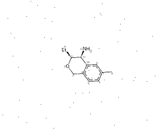 CC[C@@H]1OCc2ccc(C)cc2[C@@H]1N